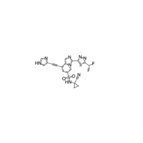 N#CC1(NS(=O)(=O)c2cc(C#Cc3c[nH]cn3)c3cnc(-c4nnc(C(F)F)s4)n3c2)CC1